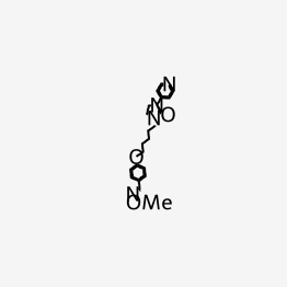 CON=Cc1ccc(OCCCCCN2CCN(c3ccncc3)C2=O)cc1